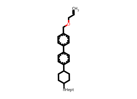 C=CCOCc1ccc(-c2ccc(C3CCC(CCCCCCC)CC3)cc2)cc1